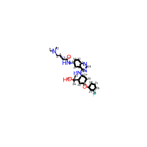 CN(C)C/C=C/C(=O)Nc1ccc2ncnc(Nc3ccc(Oc4cccc(F)c4)cc3C(C)(C)O)c2c1